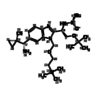 CC(C)(C)[S@@+]([O-])N[C@@H](COC(C)(C)C(F)(F)F)c1nc2ccc([C@H](N)C3(C#N)CC3)cc2n1COCC[Si](C)(C)C